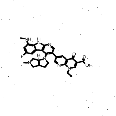 CCn1cc(C(=O)O)c(=O)c2cc(-c3cnc4[nH]c5c(NC)cc(F)cc5c4c3N3CCC4CN(C)C[C@H]43)cnc21